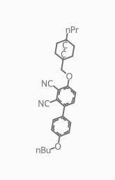 CCCCOc1ccc(-c2ccc(OCC34CCC(CCC)(CC3)CC4)c(C#N)c2C#N)cc1